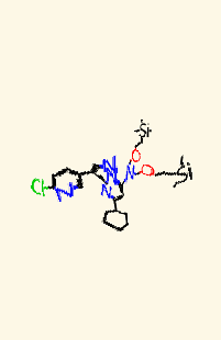 C[Si](C)(C)CCOCN(COCC[Si](C)(C)C)c1cc(C2CCCCC2)nc2c(-c3ccc(Cl)nc3)cnn12